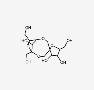 OCC1OC2(COC3C(CO)OC(CO)(OC2)C3O)C(O)C1O